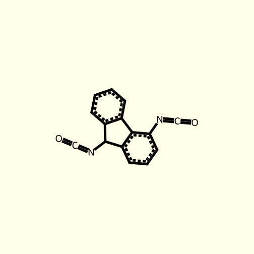 O=C=Nc1cccc2c1-c1ccccc1C2N=C=O